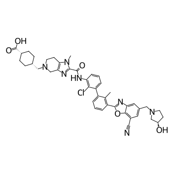 Cc1c(-c2nc3cc(CN4CC[C@@H](O)C4)cc(C#N)c3o2)cccc1-c1cccc(NC(=O)c2nc3c(n2C)CCN(C[C@H]2CC[C@@H](C(=O)O)CC2)C3)c1Cl